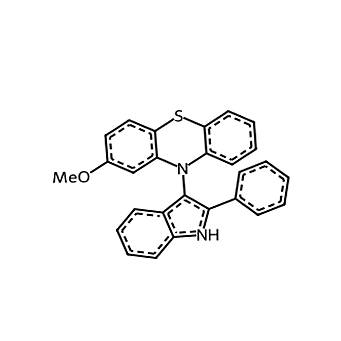 COc1ccc2c(c1)N(c1c(-c3ccccc3)[nH]c3ccccc13)c1ccccc1S2